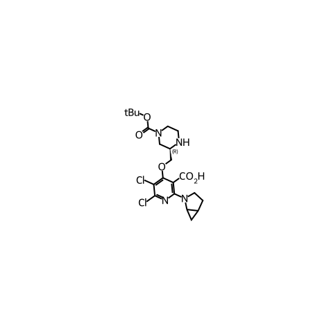 CC(C)(C)OC(=O)N1CCN[C@@H](COc2c(Cl)c(Cl)nc(N3CCC4CC43)c2C(=O)O)C1